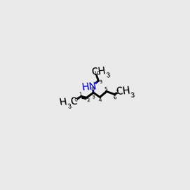 CC=CC(CCCC)NCC